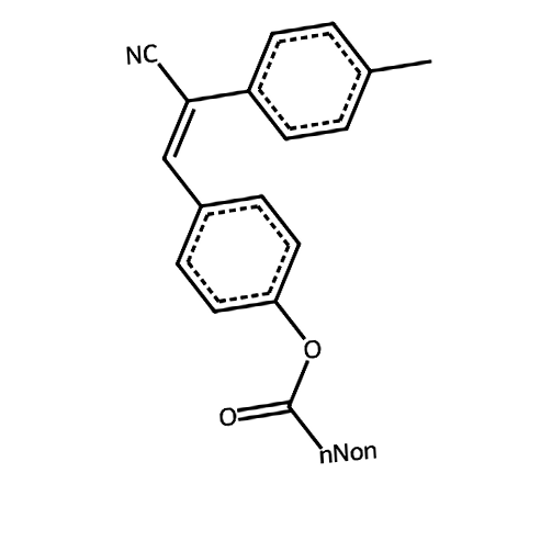 CCCCCCCCCC(=O)Oc1ccc(/C=C(/C#N)c2ccc(C)cc2)cc1